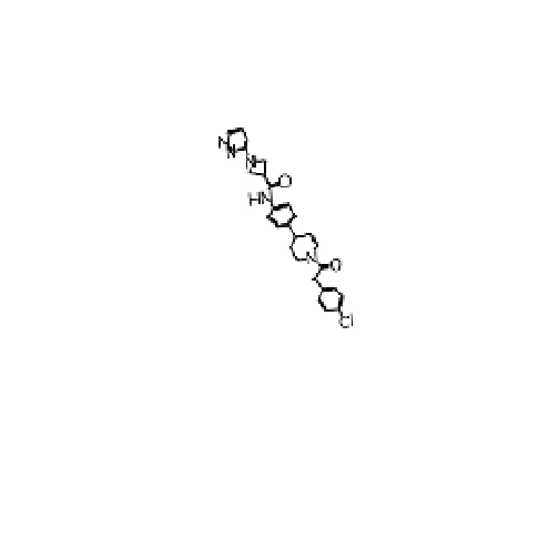 O=C(Nc1ccc(C2CCN(C(=O)Cc3ccc(Cl)cc3)CC2)cc1)C1CN(c2cccnn2)C1